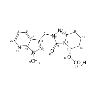 Cn1nc(Cn2nc3n(c2=O)[C@@H](OC(=O)O)CCC3)c2cccnc21